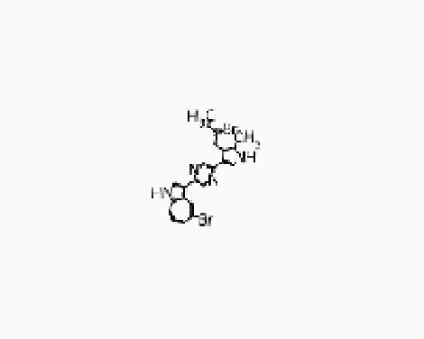 CC[C@@H](Br)CC1C(c2cnc(-c3c[nH]c4c3C=C(Br)C=C=C4)cn2)=CNC1C